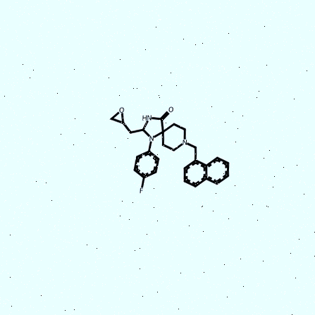 O=C1NC(CC2CO2)N(c2ccc(F)cc2)C12CCN(Cc1cccc3ccccc13)CC2